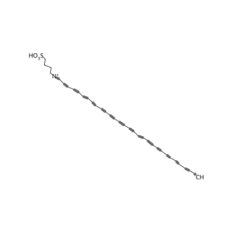 C#CC#CC#CC#CC#CC#CC#CC#CC#CC#CC#CC#CC#CC#CC#CC#[N+]CCCCS(=O)(=O)O